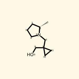 C[C@H]1CCCN1CC1(CO)CC1